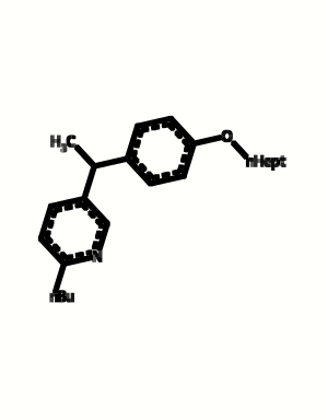 CCCCCCCOc1ccc(C(C)c2ccc(CCCC)nc2)cc1